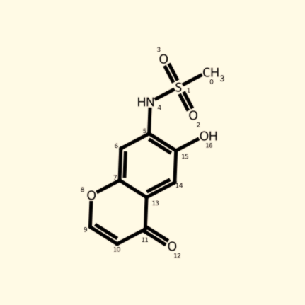 CS(=O)(=O)Nc1cc2occc(=O)c2cc1O